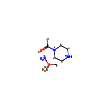 CC(=O)N1CCNCC1.CON.S